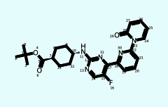 CC(C)(C)OC(=O)[C@H]1CC[C@H](Nc2ncc(F)c(-c3cccc(-n4ccccc4=O)n3)n2)CC1